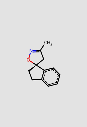 CC1=NO[C@]2(CCc3ccccc32)C1